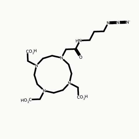 [N-]=[N+]=NCCCNC(=O)CN1CCN(CC(=O)O)CCN(CC(=O)O)CCN(CC(=O)O)CC1